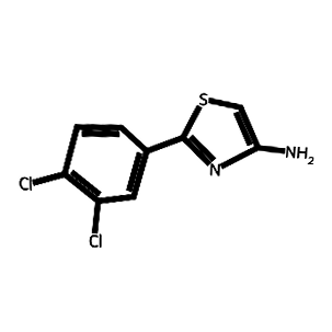 Nc1csc(-c2ccc(Cl)c(Cl)c2)n1